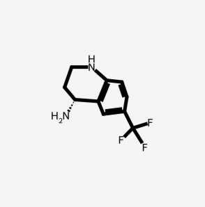 N[C@@H]1CCNc2ccc(C(F)(F)F)cc21